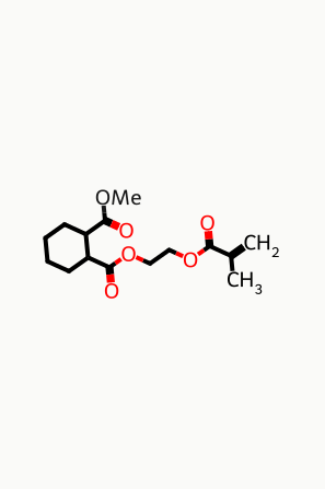 C=C(C)C(=O)OCCOC(=O)C1CCCCC1C(=O)OC